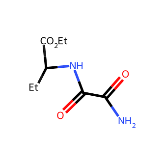 CCOC(=O)C(CC)NC(=O)C(N)=O